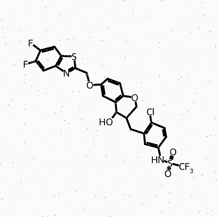 O=S(=O)(Nc1ccc(Cl)c(CC2COc3ccc(OCc4nc5cc(F)c(F)cc5s4)cc3C2O)c1)C(F)(F)F